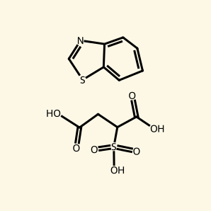 O=C(O)CC(C(=O)O)S(=O)(=O)O.c1ccc2scnc2c1